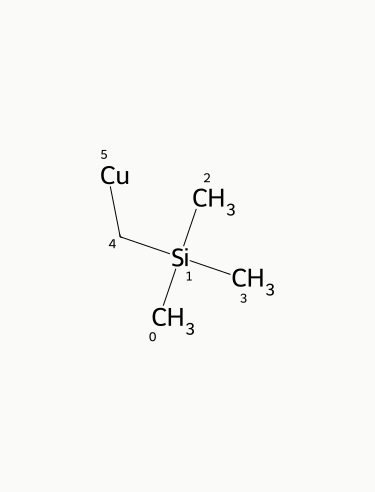 C[Si](C)(C)[CH2][Cu]